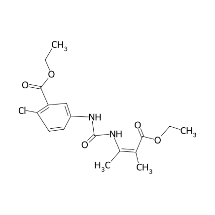 CCOC(=O)C(C)=C(C)NC(=O)Nc1ccc(Cl)c(C(=O)OCC)c1